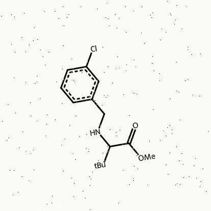 COC(=O)C(NCc1cccc(Cl)c1)C(C)(C)C